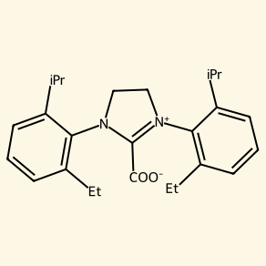 CCc1cccc(C(C)C)c1N1CC[N+](c2c(CC)cccc2C(C)C)=C1C(=O)[O-]